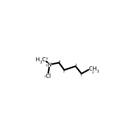 CCCCCN(C)Cl